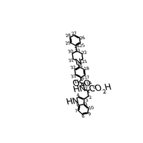 O=C(O)[C@@H](Cc1c[nH]c2ccccc12)NS(=O)(=O)c1ccc(N2CCC(c3ccccc3)CC2)cc1